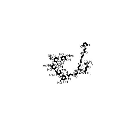 CC(=O)N[C@H]1[C@H](OC2[C@@H](CO)O[C@@H](OC3[C@@H](CO)O[C@@H](OC4[C@@H](CO)OC(O)[C@H](NC(C)=O)[C@H]4O)[C@H](NC(C)=O)[C@H]3O)[C@H](NC(C)=O)[C@H]2O)O[C@H](CO)C(O[C@@H]2O[C@H](CO)[C@@H](O)[C@H](O)[C@H]2NC(=O)CCNC(=O)[C@H](CSSC(C)(C)CCC(=O)N(C)[C@@H](C)C(=O)O)NC(=O)CCOCCOCCNC(=O)CCN2C(=O)C=CC2=O)[C@@H]1O